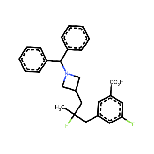 CC(F)(Cc1cc(F)cc(C(=O)O)c1)CC1CN(C(c2ccccc2)c2ccccc2)C1